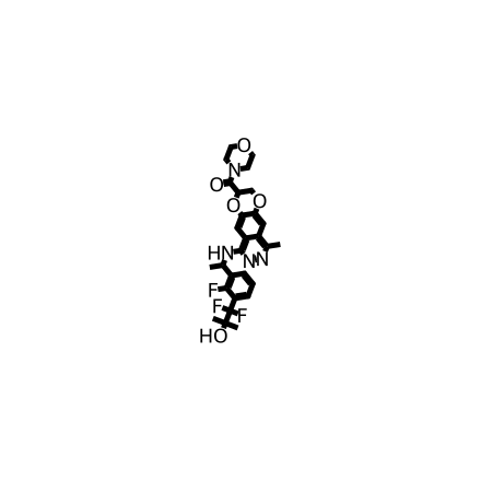 Cc1nnc(NC(C)c2cccc(C(F)(F)C(C)(C)O)c2F)c2cc3c(cc12)OCC(C(=O)N1CCOCC1)O3